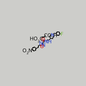 O=C(NCCC1CCN(Cc2ccc(F)cc2)CC1)c1noc(/C=C/c2ccc([N+](=O)[O-])cc2)n1.O=C(O)/C=C/C(=O)O